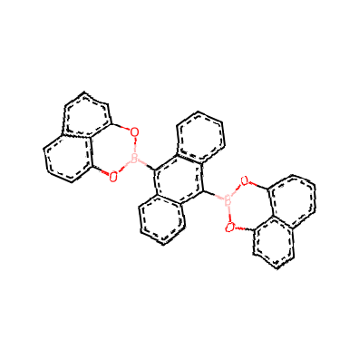 c1cc2c3c(cccc3c1)OB(c1c3ccccc3c(B3Oc4cccc5cccc(c45)O3)c3ccccc13)O2